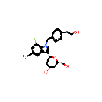 Cc1cc(F)c2c(c1)c([C@H]1C[C@@H](O)C[C@@H](CO)O1)cn2Cc1ccc(CCO)cc1